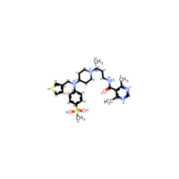 Cc1ncnc(C)c1C(=O)NCC[C@@H](C)N1CCC(N(Cc2ccsc2)c2ccc(S(C)(=O)=O)cc2)CC1